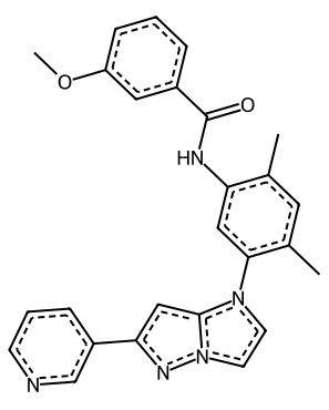 COc1cccc(C(=O)Nc2cc(-n3ccn4nc(-c5cccnc5)cc34)c(C)cc2C)c1